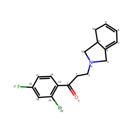 O=C(CCN1CC2=CC=CCC2C1)c1ccc(F)cc1Br